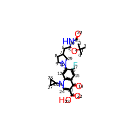 CC(C)(C)OC(CC1CCN(c2cc3c(cc2F)c(=O)c(C(=O)O)cn3C2CC2)C1)NC=O